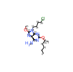 CCCC[C@H](C)Oc1nc(N)c2nc(OC)n(CCCCCl)c2n1